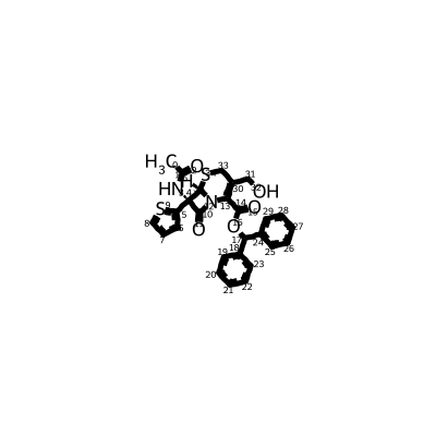 CC(=O)N[C@@]1(c2cccs2)C(=O)N2C(C(=O)OC(c3ccccc3)c3ccccc3)=C(CO)CS[C@H]21